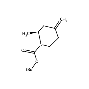 C=C1CCN(C(=O)OC(C)(C)C)[C@@H](C)C1